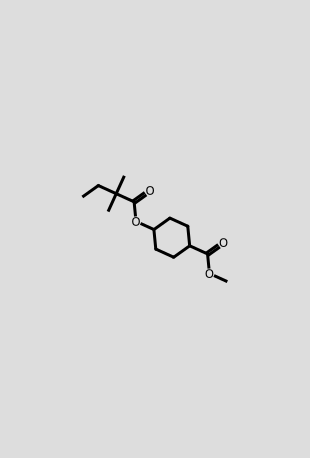 CCC(C)(C)C(=O)OC1CCC(C(=O)OC)CC1